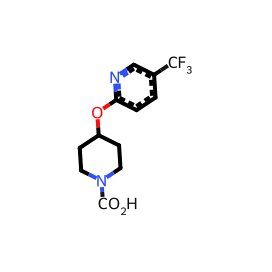 O=C(O)N1CCC(Oc2ccc(C(F)(F)F)cn2)CC1